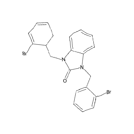 O=c1n(Cc2ccccc2Br)c2ccccc2n1CC1CC=CC=C1Br